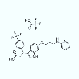 O=C(O)C(F)(F)F.O=C(O)CC(c1ccc(C(F)(F)F)cc1)c1c[nH]c2cc(OCCCNc3ccccn3)ccc12